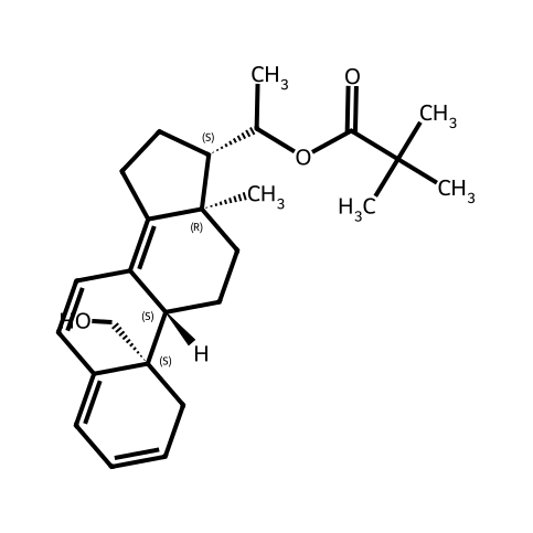 CC(OC(=O)C(C)(C)C)[C@H]1CCC2=C3C=CC4=CC=CC[C@]4(CO)[C@H]3CC[C@@]21C